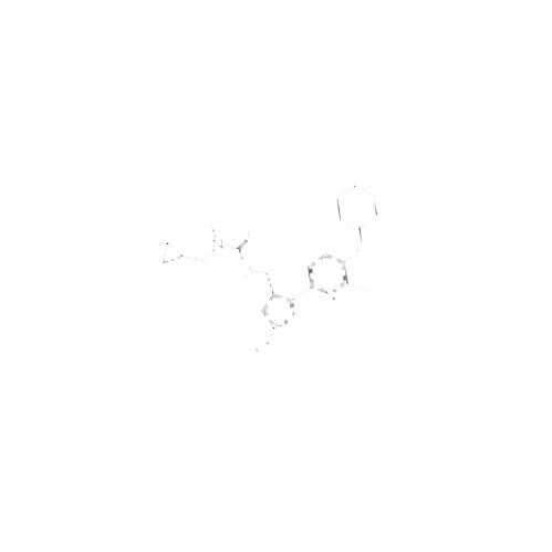 Cc1nc(-c2sc(Cl)cc2COC(=O)N(C)CC2CC2)ccc1OC1CCCCC1